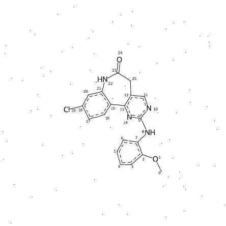 COc1ccccc1Nc1ncc2c(n1)-c1ccc(Cl)cc1NC(=O)C2